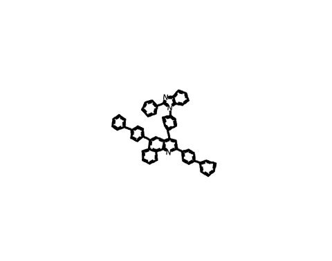 c1ccc(-c2ccc(-c3cc(-c4ccc(-n5c(-c6ccccc6)nc6ccccc65)cc4)c4cc(-c5ccc(-c6ccccc6)cc5)c5ccccc5c4n3)cc2)cc1